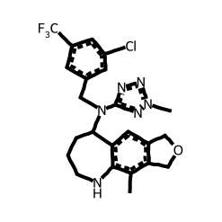 Cc1c2c(cc3c1NCCCC3N(Cc1cc(Cl)cc(C(F)(F)F)c1)c1nnn(C)n1)COC2